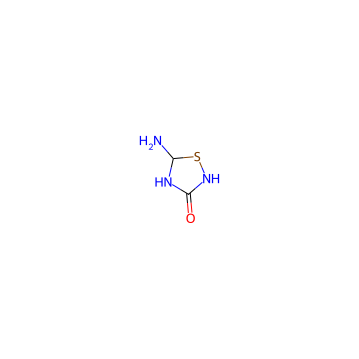 NC1NC(=O)NS1